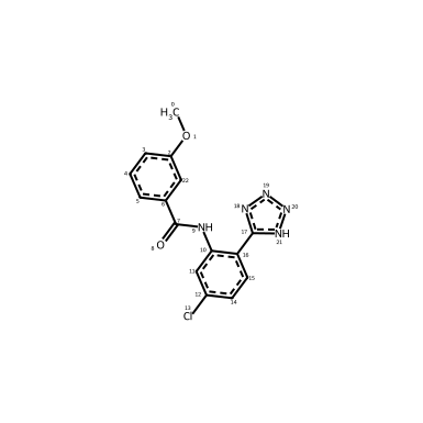 COc1cccc(C(=O)Nc2cc(Cl)ccc2-c2nnn[nH]2)c1